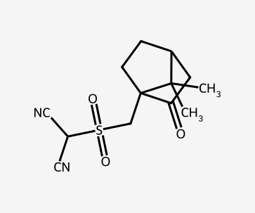 CC1(C)C2CCC1(CS(=O)(=O)C(C#N)C#N)C(=O)C2